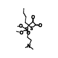 CCCCC1([Si](OC)(OC)OCCN(C)C)SC(=O)C1=O